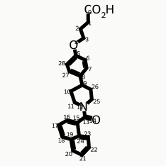 O=C(O)CCCOc1ccc(C2CCN(C(=O)c3cccc4ccccc34)CC2)cc1